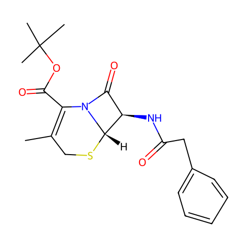 CC1=C(C(=O)OC(C)(C)C)N2C(=O)[C@@H](NC(=O)Cc3ccccc3)[C@@H]2SC1